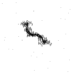 CN[C@H](C(=O)NCCNC(=O)c1cc2ccc(NC(=O)c3ccc4[nH]c(C(=O)Nc5ccc6cc(C(=O)NCCNC(=O)[C@@H](NC)C(C)C)[nH]c6c5)cc4c3)cc2[nH]1)C(C)C